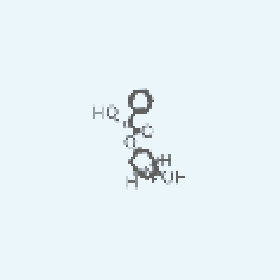 CN1[C@H]2CC(O)[C@@H]1C[C@H](OC(=O)[C@H](CO)c1ccccc1)C2